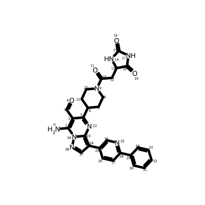 Nc1c(C=O)c(C2CCN(C(=O)CC3NC(=O)NC3=O)CC2)nc2c(-c3ccc(-c4ccccc4)nc3)cnn12